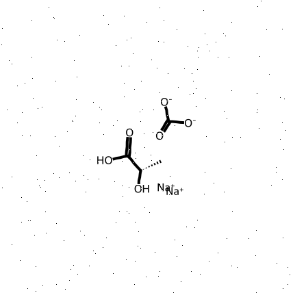 C[C@H](O)C(=O)O.O=C([O-])[O-].[Na+].[Na+]